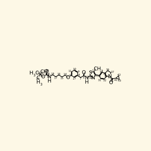 Cc1sc(NC(=O)Cc2cccc(OCCCCCNC(=O)OC(C)(C)C)c2)nc1-c1ccc2c(c1)CCN2C(=O)C1CC1